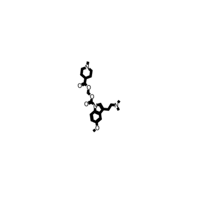 COc1ccc2c(c1)c(CCN(C)C)cn2C(=O)OCOC(=O)C1CCN(C)CC1